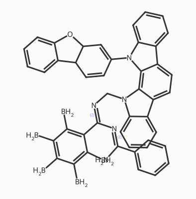 Bc1c(B)c(B)c(C(/N=C(\N)c2ccccc2)=N/Cn2c3ccccc3c3ccc4c5ccccc5n(C5=CC6Oc7ccccc7C6C=C5)c4c32)c(B)c1B